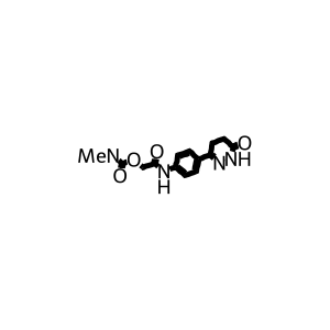 CNC(=O)OCC(=O)Nc1ccc(C2=NNC(=O)CC2)cc1